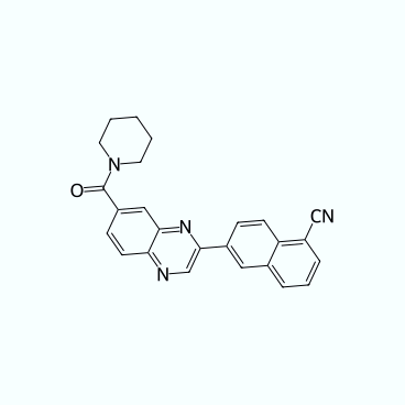 N#Cc1cccc2cc(-c3cnc4ccc(C(=O)N5CCCCC5)cc4n3)ccc12